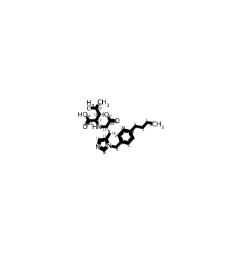 CCCCc1ccc(Cn2cncc2C[C@H](NC(CC(C)C)C(=O)O)C(=O)O)cc1